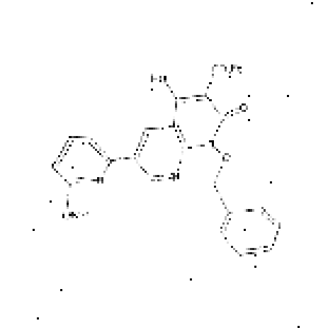 CCOC(=O)c1c(O)c2cc(-c3cccc(OC)n3)cnc2n(OCc2ccccc2)c1=O